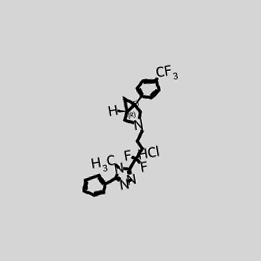 Cl.Cn1c(-c2ccccc2)nnc1C(F)(F)CCCN1C[C@@H]2C[C@]2(c2ccc(C(F)(F)F)cc2)C1